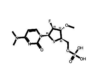 CO[C@H]1[C@H](F)[C@H](n2ccc(N(C)C)nc2=O)S[C@@H]1COP(=O)(O)O